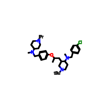 CC(CC1CN(C(C)(C)C)CCC1N(C)Cc1ccc(Cl)cc1)Oc1ccc(CN(C)C2CCN(C(C)C)CC2)cc1